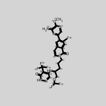 COc1ncc(-c2cc3ccn(CCCC(COC(F)F)Nc4cn[nH]c(=O)c4C(F)(F)F)c(=O)c3cc2F)nc1N